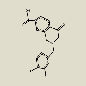 O=C(O)c1ccc2c(c1)CN(Cc1ccc(F)c(F)c1)CC2=O